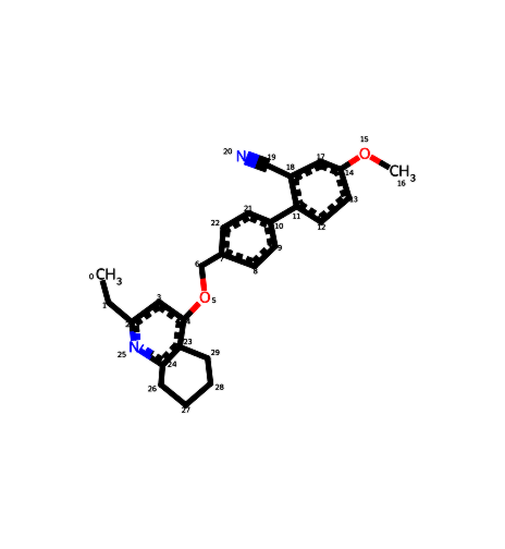 CCc1cc(OCc2ccc(-c3ccc(OC)cc3C#N)cc2)c2c(n1)CCCC2